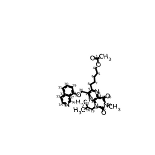 CC(=O)OCCCCCc1nc2c(=O)n(C)c(=O)n(CC(C)C)c2nc1COc1cccc2ccncc12